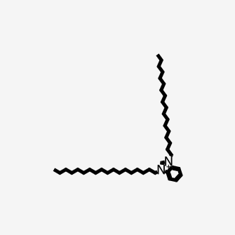 CCCCCCCCCCCCCCCCCCn1c[n+](CCCCCCCCCCCCCCCCCC)c2ccccc21